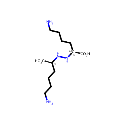 NCCCC[C@H](NN[12C@@H](CCCCN)C(=O)O)C(=O)O